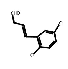 O=CCC=Cc1cc(Cl)ccc1Cl